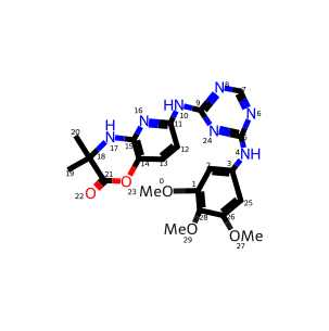 COc1cc(Nc2ncnc(Nc3ccc4c(n3)NC(C)(C)C(=O)O4)n2)cc(OC)c1OC